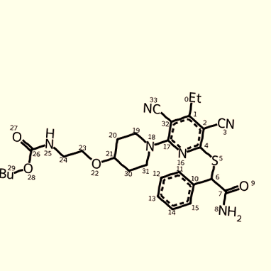 CCc1c(C#N)c(SC(C(N)=O)c2ccccc2)nc(N2CCC(OCCNC(=O)OC(C)(C)C)CC2)c1C#N